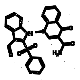 Cn1cc(C(N)=O)c(=O)c2ccccc21.O=Cc1c(S(=O)(=O)c2ccccc2)[nH]c2ccccc12